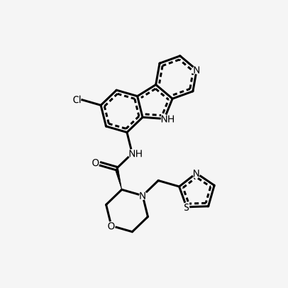 O=C(Nc1cc(Cl)cc2c1[nH]c1cnccc12)[C@@H]1COCCN1Cc1nccs1